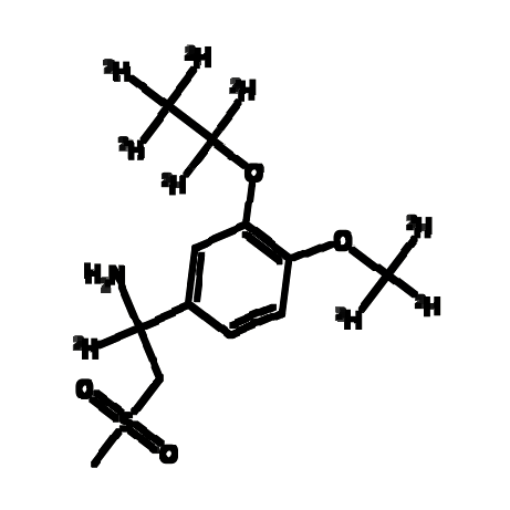 [2H]C([2H])([2H])Oc1ccc(C([2H])(N)CS(C)(=O)=O)cc1OC([2H])([2H])C([2H])([2H])[2H]